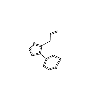 C=CCc1sccc1-c1ccncc1